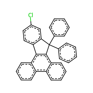 Clc1ccc2c(c1)C(c1ccccc1)(c1ccccc1)c1c-2c2ccccc2c2ccccc12